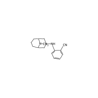 CN1C2CCCC1CC(Nc1ccccc1C#N)C2